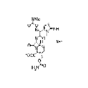 CNC(=O)ON=C(C(=O)NC1C(=O)N2C(C(=O)[O-])=C(COC(N)=O)CS[C@@H]12)c1csc(=N)[nH]1.[Na+]